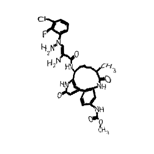 COC(=O)Nc1ccc2c(c1)NC(=O)C(C)CCCC(NC(=O)/C(N)=C/N(N)c1cccc(Cl)c1F)c1cc-2cc(=O)[nH]1